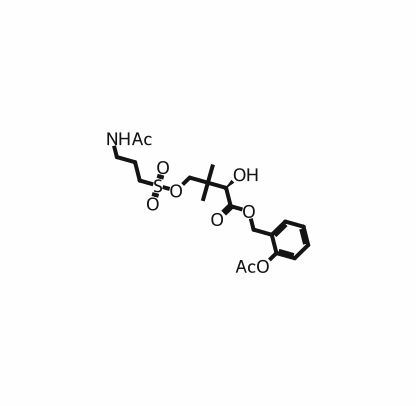 CC(=O)NCCCS(=O)(=O)OCC(C)(C)[C@@H](O)C(=O)OCc1ccccc1OC(C)=O